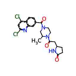 CC1CN(C(=O)c2ccc3c(Cl)cc(Cl)nc3c2)CCN1C(=O)CC1CCC(=O)N1